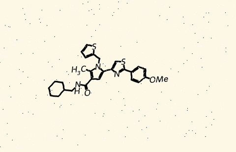 COc1ccc(-c2nc(-c3cc(C(=O)NCC4CCCCC4)c(C)n3Cc3cccs3)cs2)cc1